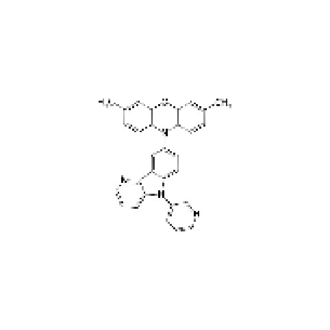 Cc1ccc2c(c1)Oc1cc(C)ccc1N2c1ccc2c(c1)c1ncccc1n2-c1cccnc1